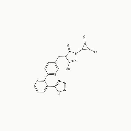 CCCCc1cn(C2C(=O)C2CC)c(=O)n1Cc1ccc(-c2ccccc2-c2nnn[nH]2)nc1